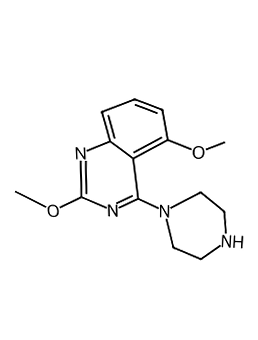 COc1nc(N2CCNCC2)c2c(OC)cccc2n1